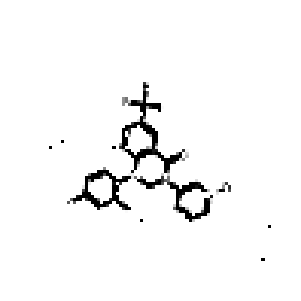 Cc1cc(F)ccc1N1CN(c2ccc[n+]([O-])c2)C(=O)c2cc(C(F)(F)F)ccc21